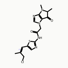 C/C(=C/c1cnc(NC(=O)Cn2cnc3c2C(=O)C(C)N3C)s1)CCl